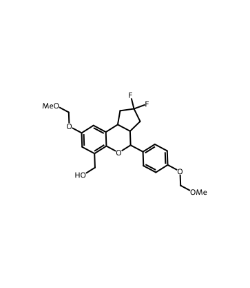 COCOc1ccc(C2Oc3c(CO)cc(OCOC)cc3C3CC(F)(F)CC32)cc1